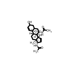 CC(=O)N[C@H]1CC2CC(O)C=C[C@]2(C)[C@H]2CC[C@]3(C)[C@@H](NC(C)=O)C=C[C@H]3[C@H]12